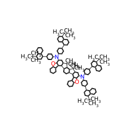 CC(C)(C)c1cccc2c(-c3ccc(N(c4ccc(-c5ccc(C(C)(C)C)c6ccccc56)cc4)c4cc5c(c6c4oc4ccccc46)-c4ccc6c(c4C5(C)C)C(C)(C)c4cc(N(c5ccc(-c7ccc(C(C)(C)C)c8ccccc78)cc5)c5ccc(-c7ccc(C(C)(C)C)c8ccccc78)cc5)c5oc7ccccc7c5c4-6)cc3)cccc12